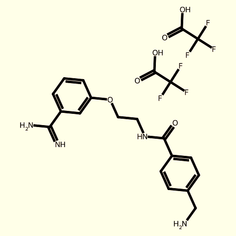 N=C(N)c1cccc(OCCNC(=O)c2ccc(CN)cc2)c1.O=C(O)C(F)(F)F.O=C(O)C(F)(F)F